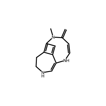 C=C1/C=C\NC2=CNCCC3=C(C=C23)N1C